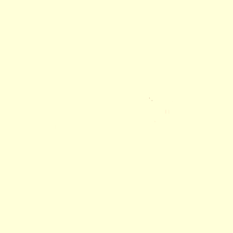 CC1(C)COc2cc(-c3ccc(F)cc3)c(F)cc2C1NC(=O)O